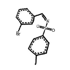 Cc1ccc(S(=O)(=O)/N=C\c2cccc(Br)c2)cc1